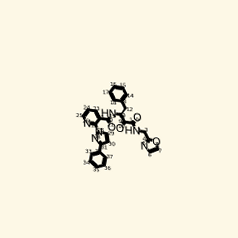 O=C(NCc1ncco1)C(=O)[C@H](Cc1ccccc1)NC(=O)c1cccnc1-n1ccc(-c2ccccc2)n1